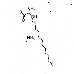 CCCCCCCCCCCCNC(C)C(=O)O.N